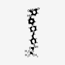 CC(C)(C)OC(=O)NN1CCC(CCN2CCN(c3ccc(NC4CCC(=O)NC4=O)cc3)CC2)CC1